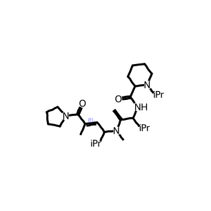 C=C(C(NC(=O)C1CCCCN1C(C)C)C(C)C)N(C)C(/C=C(\C)C(=O)N1CCCC1)C(C)C